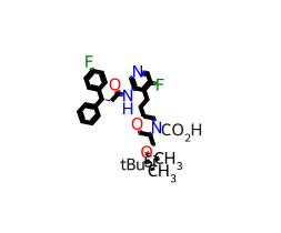 CC(C)(C)[Si](C)(C)OCC1COC(CCc2c(F)cncc2NC(=O)C[C@H](c2ccccc2)c2ccc(F)cc2)CN1C(=O)O